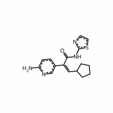 Nc1ccc(C(=CC2CCCC2)C(=O)Nc2nccs2)cn1